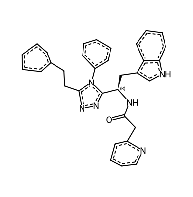 O=C(Cc1ccccn1)N[C@H](Cc1c[nH]c2ccccc12)c1nnc(CCc2ccccc2)n1-c1ccccc1